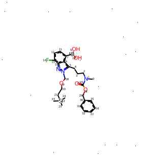 CN(CCCc1c2c(B(O)O)ccc(F)c2nn1COCC[Si](C)(C)C)C(=O)OCc1ccccc1